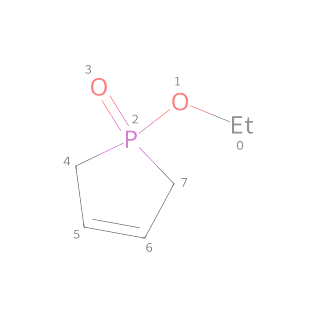 CCOP1(=O)CC=CC1